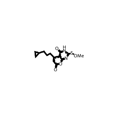 COSc1nc2oc(=O)cc(CCCC3CC3)c2c(=O)[nH]1